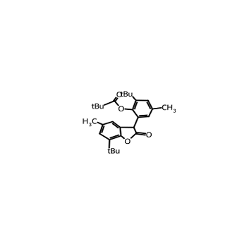 Cc1cc2c(c(C(C)(C)C)c1)OC(=O)C2c1cc(C)cc(C(C)(C)C)c1OC(=O)C(C)(C)C